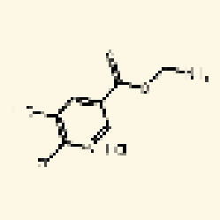 Cc1cc(C(=O)OCN)cnc1Cl.Cl